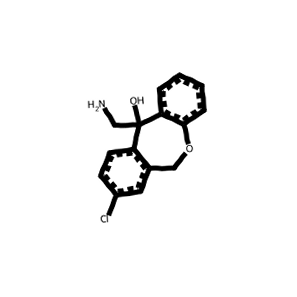 NCC1(O)c2ccc(Cl)cc2COc2ccccc21